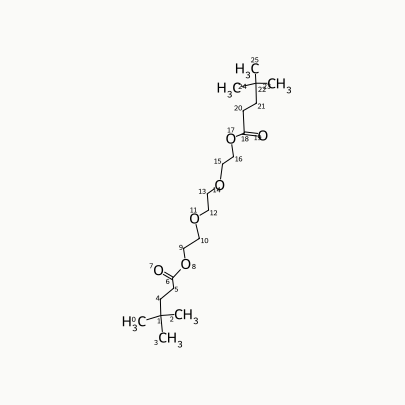 CC(C)(C)CCC(=O)OCCOCCOCCOC(=O)CCC(C)(C)C